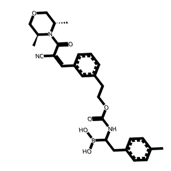 Cc1ccc(CC(NC(=O)OCCc2cccc(C=C(C#N)C(=O)N3[C@@H](C)COC[C@@H]3C)c2)B(O)O)cc1